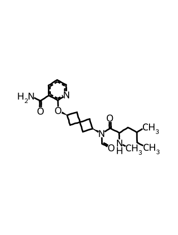 CCC(C)CC(NC)C(=O)N(C=O)[C@H]1CC2(C[C@H](Oc3ncccc3C(N)=O)C2)C1